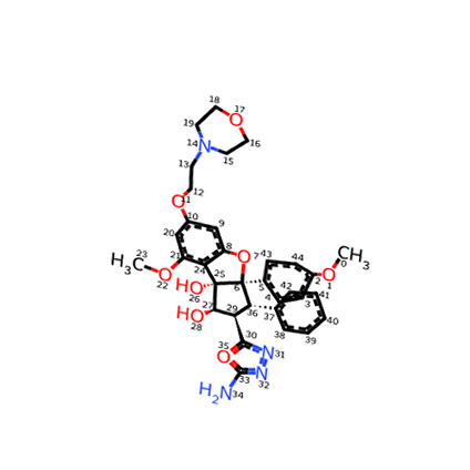 COc1ccc([C@@]23Oc4cc(OCCN5CCOCC5)cc(OC)c4[C@]2(O)[C@H](O)[C@H](c2nnc(N)o2)[C@H]3c2ccccc2)cc1